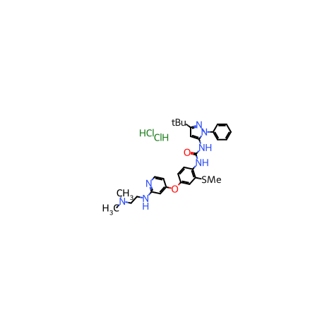 CSc1cc(Oc2ccnc(NCCN(C)C)c2)ccc1NC(=O)Nc1cc(C(C)(C)C)nn1-c1ccccc1.Cl.Cl